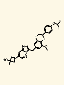 COc1cc(Cc2cnc3cc(N4CC(C)(O)C4)cnn23)cc2c1OC(c1ccc(OC(F)F)cc1)CO2